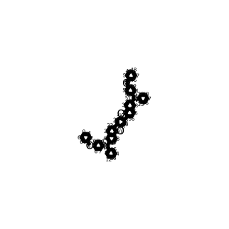 c1ccc(Oc2ccc(N(c3ccccc3)c3ccc4c(ccc5c6cc7oc8c9ccc(N(c%10ccccc%10)c%10ccc(Oc%11ccccc%11)cc%10)cc9ccc8c7cc6oc45)c3)cc2)cc1